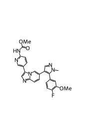 COC(=O)Nc1ccc(-c2cnc3ccc(-c4cnn(C)c4-c4ccc(F)c(OC)c4)cn23)cn1